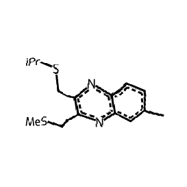 CSCc1nc2cc(C)ccc2nc1CSC(C)C